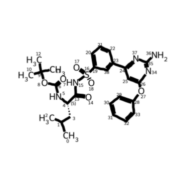 CC(C)C[C@H](NC(=O)OC(C)(C)C)C(=O)NS(=O)(=O)c1cccc(-c2cc(Oc3ccccc3)nc(N)n2)c1